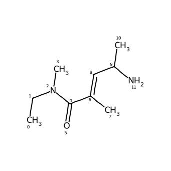 CCN(C)C(=O)C(C)=CC(C)N